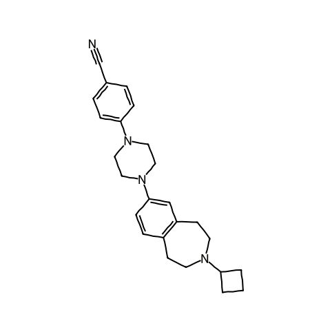 N#Cc1ccc(N2CCN(c3ccc4c(c3)CCN(C3CCC3)CC4)CC2)cc1